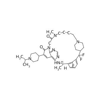 CC(C)N1CCC(c2cc3c4ncnc3n(c2=O)CC(=O)N(C)CCCCN2CCC(CC2)C(F)(F)c2cccc(c2F)[C@@H](C)N4)CC1